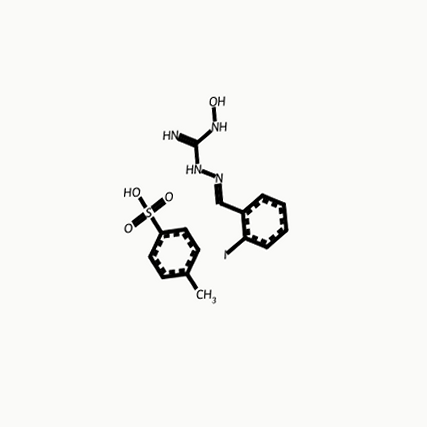 Cc1ccc(S(=O)(=O)O)cc1.N=C(NO)NN=Cc1ccccc1I